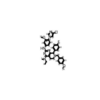 CCN(C)c1nc(Nc2ccc(-n3cnc(Cl)c3)c(OC)c2)nc2c1CCN(Cc1ccc(OC)cc1)C2c1ccc(F)cc1